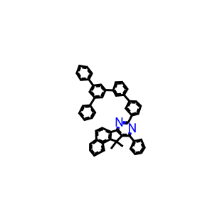 CC1(C)c2c(-c3ccccc3)nc(-c3cccc(-c4cccc(-c5cc(-c6ccccc6)cc(-c6ccccc6)c5)c4)c3)nc2-c2ccc3ccccc3c21